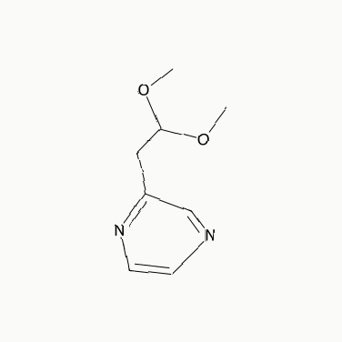 COC(Cc1cnccn1)OC